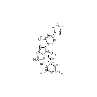 Cn1c(-c2ccc(-n3cccn3)cc2Cl)nnc1C(C)(C)Oc1c(F)cc(F)cc1F